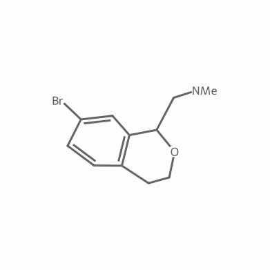 CNCC1OCCc2ccc(Br)cc21